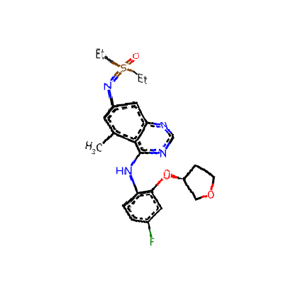 CCS(=O)(CC)=Nc1cc(C)c2c(Nc3ccc(F)cc3O[C@H]3CCOC3)ncnc2c1